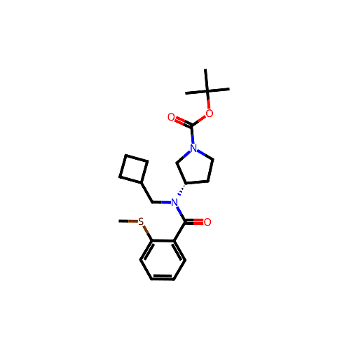 CSc1ccccc1C(=O)N(CC1CCC1)[C@H]1CCN(C(=O)OC(C)(C)C)C1